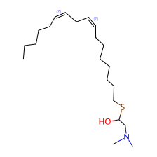 CCCCC/C=C\C/C=C\CCCCCCCSC(O)CN(C)C